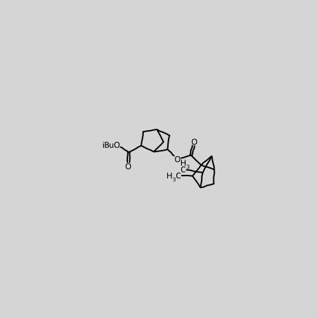 CC(C)COC(=O)C1CC2CC(OC(=O)C34C(C)C5CC3C4C5C)C1C2